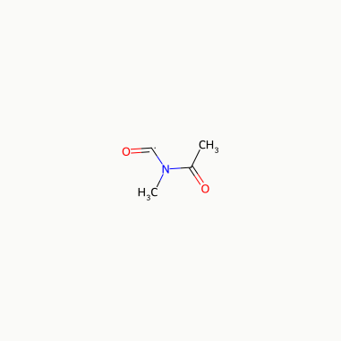 CC(=O)N(C)[C]=O